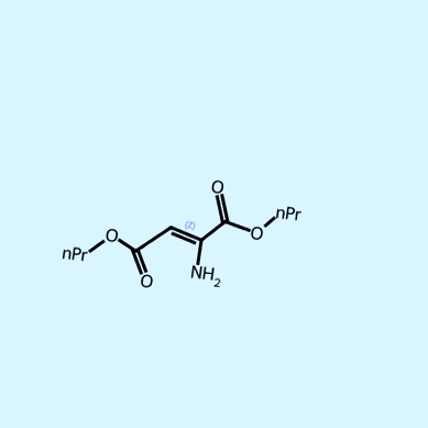 CCCOC(=O)/C=C(\N)C(=O)OCCC